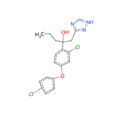 CCCC(O)(Cc1nc[nH]n1)c1ccc(Oc2ccc(Cl)cc2)cc1Cl